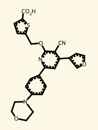 N#Cc1c(-c2ccoc2)cc(-c2ccc(N3CCOCC3)cc2)nc1OCc1ccc(C(=O)O)s1